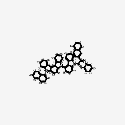 c1ccc2cc(-c3nc4ccccc4nc3-n3c4ccccc4c4c(-n5c6ccccc6c6c7c8ccccc8n(-c8cccc9ccccc89)c7ccc65)cccc43)ccc2c1